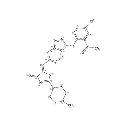 CC(=O)c1cc(Cl)ccc1Cn1ncc2cc(/C=C3\SC(N4CCN(C)CC4)=NC3=O)ccc21